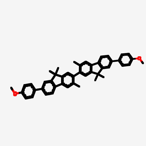 COc1ccc(-c2ccc3c(c2)C(C)(C)c2cc(-c4cc5c(cc4C)-c4ccc(-c6ccc(OC)cc6)cc4C5(C)C)c(C)cc2-3)cc1